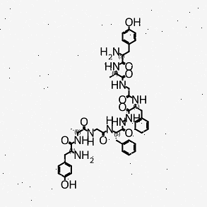 C[C@@H](NC(=O)[C@@H](N)Cc1ccc(O)cc1)C(=O)NCC(=O)N[C@@H](CC1=CCCC=C1)C(=O)NNC(=O)[C@H](Cc1ccccc1)NC(=O)CNC(=O)[C@@H](C)NC(=O)[C@@H](N)Cc1ccc(O)cc1